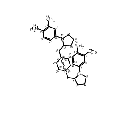 Cc1cc(N2CCCC2C[N+]23CC[N+](CC4CCCN4c4ccc(N)c(C)c4)(CC2)CC3)ccc1N